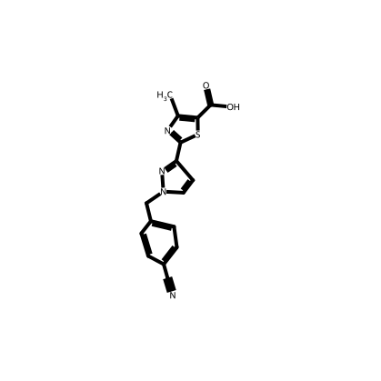 Cc1nc(-c2ccn(Cc3ccc(C#N)cc3)n2)sc1C(=O)O